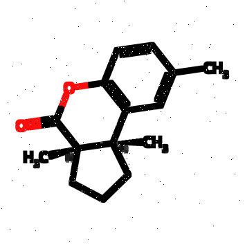 Cc1ccc2c(c1)[C@@]1(C)CCC[C@]1(C)C(=O)O2